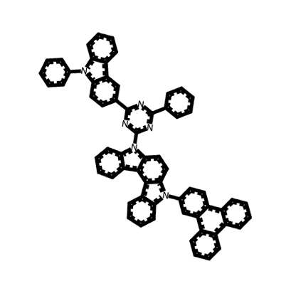 c1ccc(-c2nc(-c3ccc4c(c3)c3ccccc3n4-c3ccccc3)nc(-n3c4ccccc4c4c5c6ccccc6n(-c6ccc7c8ccccc8c8ccccc8c7c6)c5ccc43)n2)cc1